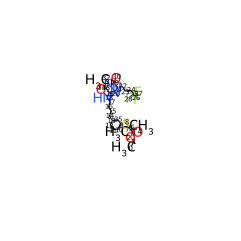 CCOC(=O)C(C)(C)Sc1cccc(CCCCNc2nn(CCCC(F)(F)F)c(=O)n(C)c2=O)c1